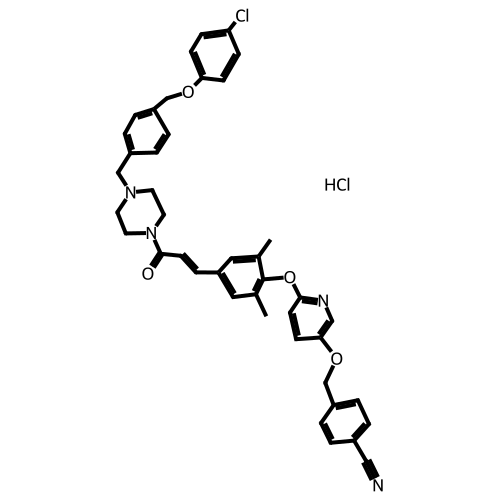 Cc1cc(C=CC(=O)N2CCN(Cc3ccc(COc4ccc(Cl)cc4)cc3)CC2)cc(C)c1Oc1ccc(OCc2ccc(C#N)cc2)cn1.Cl